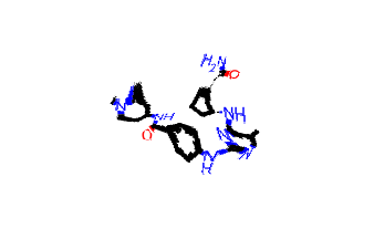 Cc1cnc(Nc2ccc(C(=O)NC3CCN(C)CC3)cc2)nc1N[C@@H]1CCC[C@@H]1C(N)=O